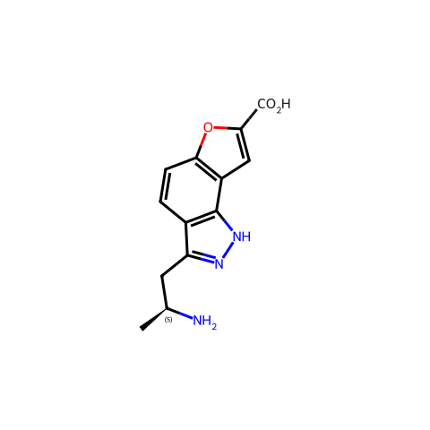 C[C@H](N)Cc1n[nH]c2c1ccc1oc(C(=O)O)cc12